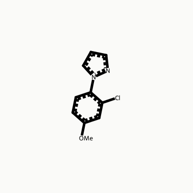 COc1ccc(-n2cccn2)c(Cl)c1